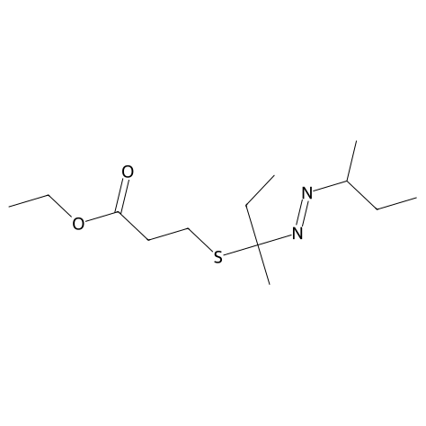 CCOC(=O)CCSC(C)(CC)N=NC(C)CC